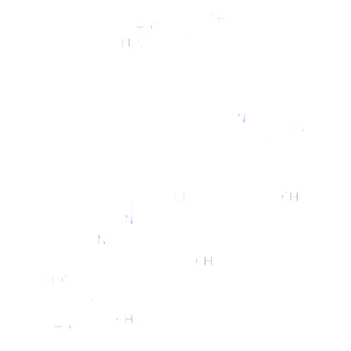 CCC1(C(C)C)CCN(C(=O)C(C)CCC(C)(C)c2cc(C(C)(C)C)n[nH]2)CC1